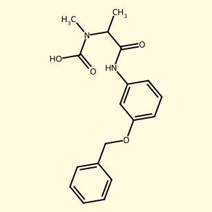 CC(C(=O)Nc1cccc(OCc2ccccc2)c1)N(C)C(=O)O